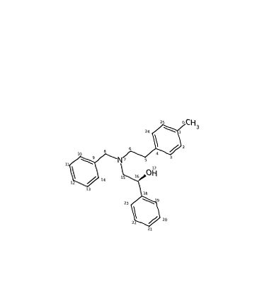 Cc1ccc(CCN(Cc2ccccc2)C[C@@H](O)c2ccccc2)cc1